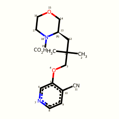 CC(C)(COc1cnccc1C#N)C[C@@H]1COCCN1C(=O)O